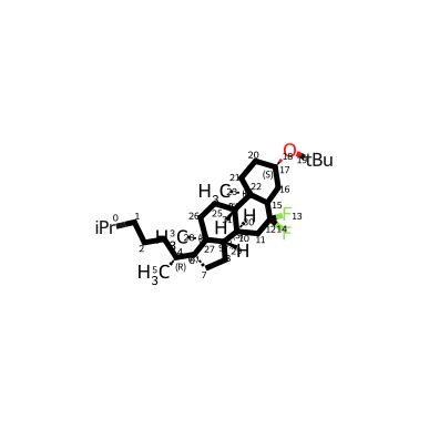 CC(C)CCC[C@@H](C)[C@H]1CC[C@H]2[C@@H]3CC(F)(F)C4C[C@@H](OC(C)(C)C)CC[C@]4(C)[C@H]3CC[C@]12C